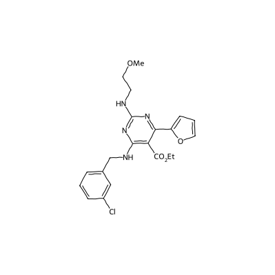 CCOC(=O)c1c(NCc2cccc(Cl)c2)nc(NCCOC)nc1-c1ccco1